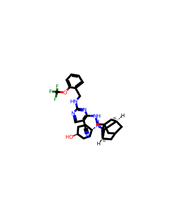 N#Cc1cnc(NCc2ccccc2OC(F)(F)F)nc1NCC12CC3C[C@H](C1)C(N[C@H]1CC[C@H](O)CC1)[C@@H](C3)C2